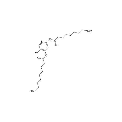 CCCCCCCCCCCCCCCCCC(=O)Oc1cc(OC(=O)CCCCCCCCCCCCCCCCC)c(Cl)cn1